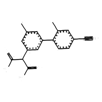 Cc1cc(-c2ccc(C#N)cc2C)cc(C(C(=O)O)C(=O)O)c1